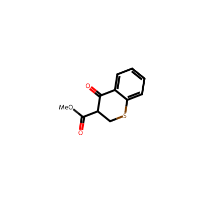 COC(=O)C1CSc2ccccc2C1=O